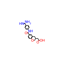 N=C(N)c1ccc(NC(=O)c2ccc3c(c2)CC(CC(=O)O)CO3)cc1